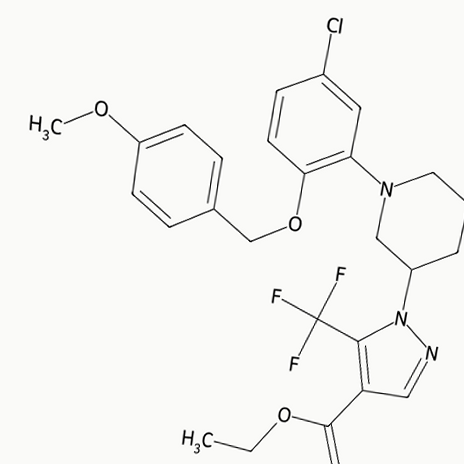 CCOC(=O)c1cnn(C2CCCN(c3cc(Cl)ccc3OCc3ccc(OC)cc3)C2)c1C(F)(F)F